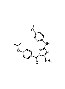 COc1ccc(Nc2nc(N)n(C(=O)c3ccc(OC(C)C)cc3)n2)cc1